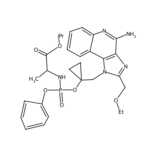 CCOCc1nc2c(N)nc3ccccc3c2n1CC1(OP(=O)(NC(C)C(=O)OC(C)C)Oc2ccccc2)CC1